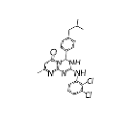 Cc1cc(=O)n2c(n1)N=C(Nc1cccc(Cl)c1Cl)NC2c1ccc(CC(C)C)cc1